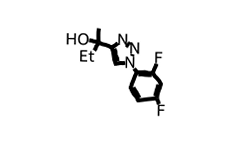 CCC(C)(O)c1cn(-c2ccc(F)cc2F)nn1